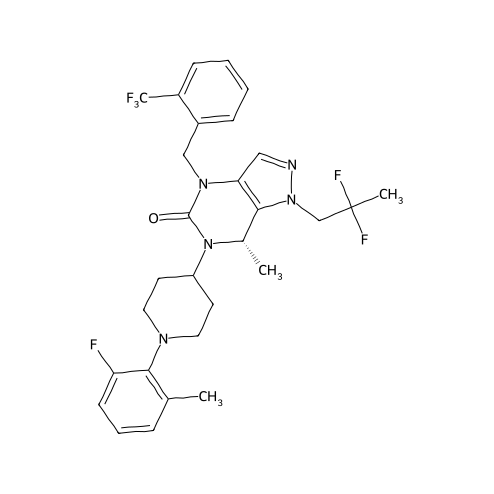 Cc1cccc(F)c1N1CCC(N2C(=O)N(Cc3ccccc3C(F)(F)F)c3cnn(CC(C)(F)F)c3[C@@H]2C)CC1